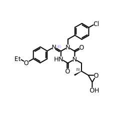 CCOc1ccc(/N=c2\[nH]c(=O)n(C[C@H](C)C3OC3O)c(=O)n2Cc2ccc(Cl)cc2)cc1